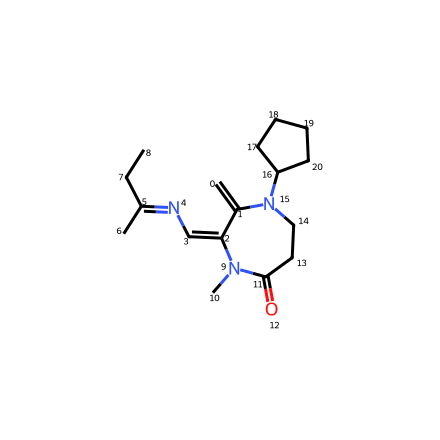 C=C1/C(=C\N=C(/C)CC)N(C)C(=O)CCN1C1CCCC1